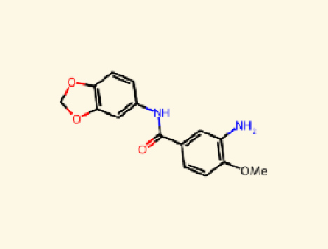 COc1ccc(C(=O)Nc2ccc3c(c2)OCO3)cc1N